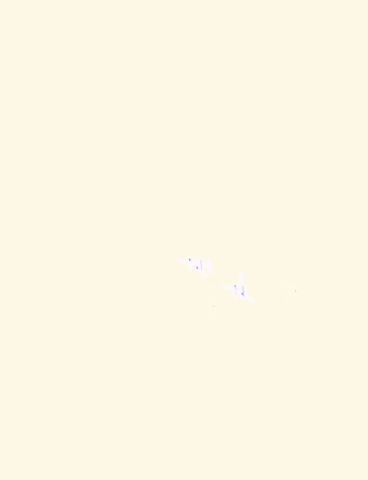 O=C(NCC1CCC1)N1CCOCC1